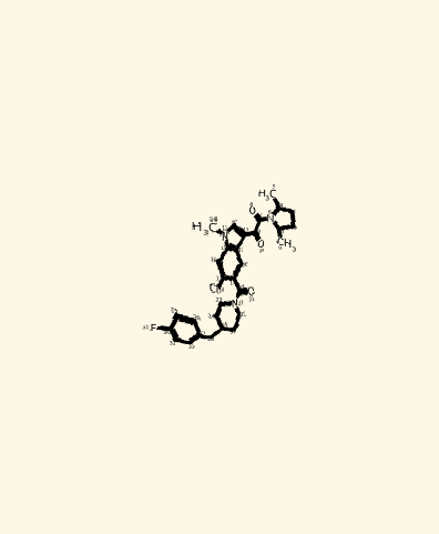 CC1CCC(C)N1C(=O)C(=O)c1cn(C)c2cc(Cl)c(C(=O)N3CCC(Cc4ccc(F)cc4)CC3)cc12